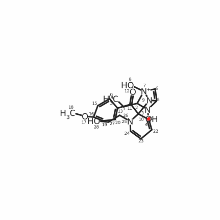 CCC1N(O)C2=C[N+]1(O)N2C1(C(=O)c2ccc(OC)cc2)C=CC=CN1CCO